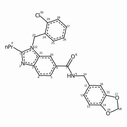 CCCc1nc2ccc(C(=O)NCc3ccc4c(c3)OCO4)cc2n1Cc1ccccc1Cl